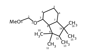 COCOC1CCCC2C1C(C)(C)C(C)C2(C)C